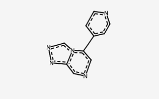 c1cc(-c2cncc3nncn23)ccn1